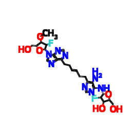 CO[C@@H]1C(CO)OC(n2cnc3c(CC/C=C/CCc4ncnc(N[C@@H]5OC(CO)[C@@H](O)[C@H]5F)c4N)ncnc32)[C@@H]1F